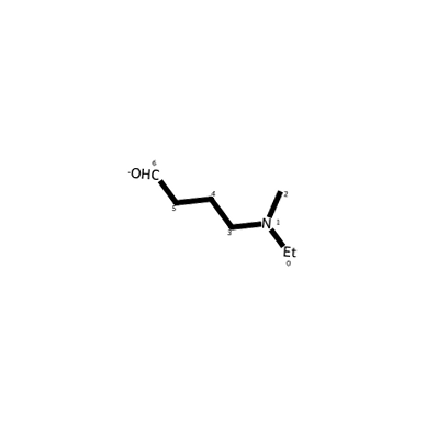 CCN(C)CCC[C]=O